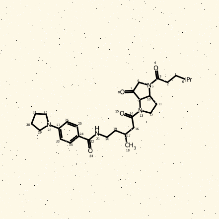 CC(C)CCC(=O)N1CC(=O)C2C1CCN2C(=O)CC(C)CCNC(=O)c1ccc(N2CCCC2)cc1